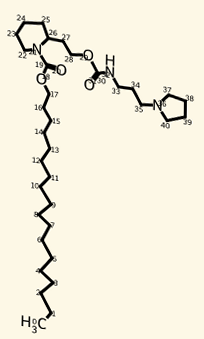 CCCCCCCCCCCCCCCCCCOC(=O)N1CCCCC1CCOC(=O)NCCCN1CCCC1